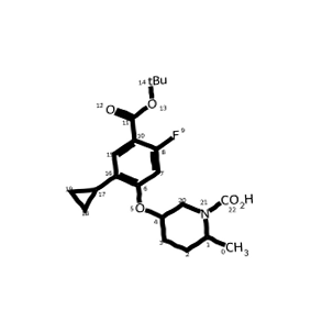 CC1CCC(Oc2cc(F)c(C(=O)OC(C)(C)C)cc2C2CC2)CN1C(=O)O